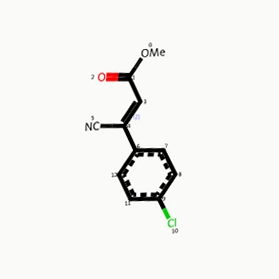 COC(=O)/C=C(\C#N)c1ccc(Cl)cc1